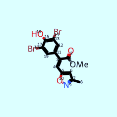 COC(=O)C(=Cc1cc(C)no1)c1cc(Br)c(O)c(Br)c1